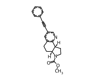 COC(=O)N1CC[C@H]2c3ncc(C#Cc4ccccc4)cc3CC[C@H]21